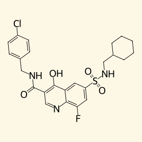 O=C(NCc1ccc(Cl)cc1)c1cnc2c(F)cc(S(=O)(=O)NCC3CCCCC3)cc2c1O